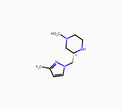 O=C(O)N1CCN[C@H](Cn2ccc(C(F)(F)F)n2)C1